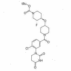 CC(C)(C)OC(=O)N1CC[C@@H](OC2CCN(C(=O)c3ccc(Cl)c(N4CCC(=O)NC4=O)c3)CC2)[C@H](F)C1